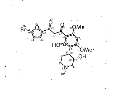 COc1cc(OC)c([C@H]2CCN(C)C[C@H]2O)c(O)c1C(=O)CC(=O)c1ccc(Br)o1